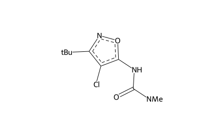 CNC(=O)Nc1onc(C(C)(C)C)c1Cl